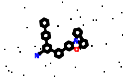 N#Cc1cc(-c2ccc(-c3ccccc3)cc2)cc(-c2cccc(-c3ccc4c(c3)Oc3cccc5c6ccccc6n-4c35)c2)c1